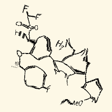 COc1cc(-c2cnc(N)c3c(-c4ccc(NS(=O)(=O)C(F)F)c(O[C@@H](C)c5ccc(F)cc5)c4)nn(C)c23)ccn1